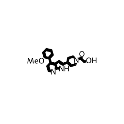 COc1ccccc1-c1ccnc2[nH]c(C3=CCN(C(=O)CO)CC3)cc12